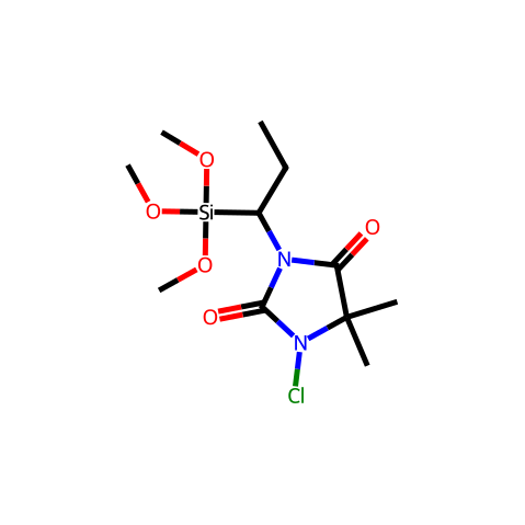 CCC(N1C(=O)N(Cl)C(C)(C)C1=O)[Si](OC)(OC)OC